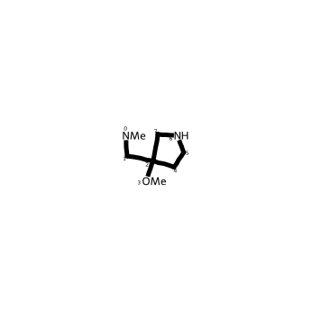 CNCC1(OC)CCNC1